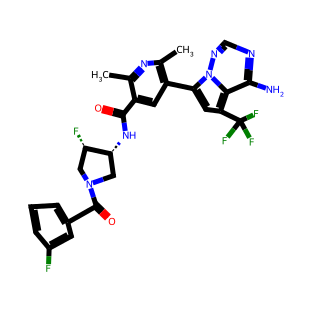 Cc1nc(C)c(-c2cc(C(F)(F)F)c3c(N)ncnn23)cc1C(=O)N[C@@H]1CN(C(=O)c2cccc(F)c2)C[C@@H]1F